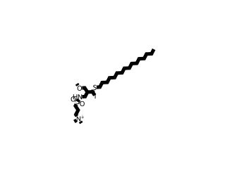 CCCCCCCCCCCCCCCCSC(I)C(CNS(=O)(=O)CCC[N+](C)(C)C)COC